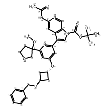 COC1(c2cc(O[C@H]3C[C@H](OCc4ccccc4)C3)cc(-c3cn(C(=O)OC(C)(C)C)c4cnc(NC(C)=O)cc34)n2)CCOC1